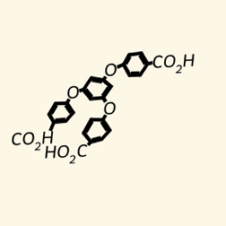 O=C(O)c1ccc(Oc2cc(Oc3ccc(C(=O)O)cc3)cc(Oc3ccc(C(=O)O)cc3)c2)cc1